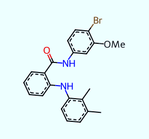 COc1cc(NC(=O)c2ccccc2Nc2cccc(C)c2C)ccc1Br